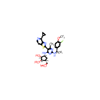 Cc1nc(N[C@H](C)c2ccc(OC(F)(F)F)c(F)c2)nc(N[C@@H]2C[C@H](CO)[C@@H](O)[C@H]2O)c1-c1nc2c(C3CC3)nccc2s1